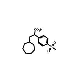 CS(=O)(=O)c1ccc(C(CC2CCCCCC2)C(=O)O)cc1